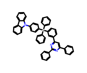 c1ccc(-c2cc(-c3cccc([Si](c4ccccc4)(c4ccccc4)c4ccc(-n5c6ccccc6c6ccccc65)cc4)c3)nc(-c3ccccc3)n2)cc1